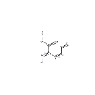 C=C/C=C\C(=C/C)C(=O)CF